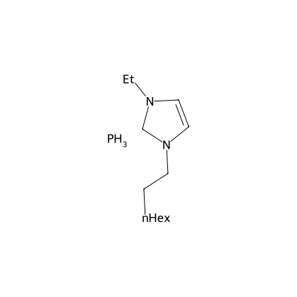 CCCCCCCCN1C=CN(CC)C1.P